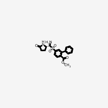 COC(=O)c1ccc(S(=O)(=O)C(N)[C@@H]2CCC(=O)N2)cc1-c1ccccc1